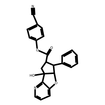 N#Cc1ccc(OC(=O)C2CC3(O)c4ncccc4OC3C2c2ccccc2)cc1